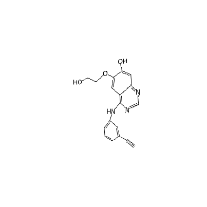 C#Cc1cccc(Nc2ncnc3cc(O)c(OCCO)cc23)c1